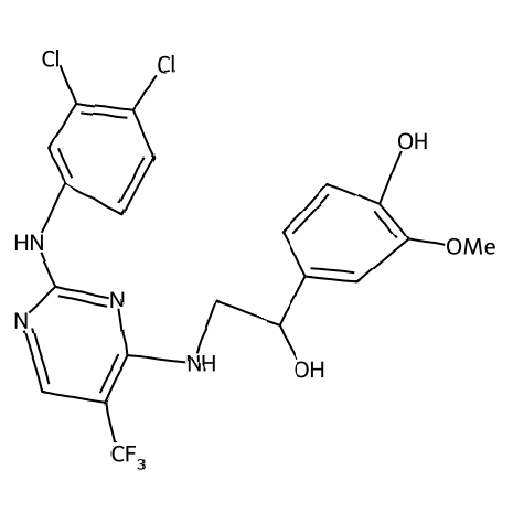 COc1cc(C(O)CNc2nc(Nc3ccc(Cl)c(Cl)c3)ncc2C(F)(F)F)ccc1O